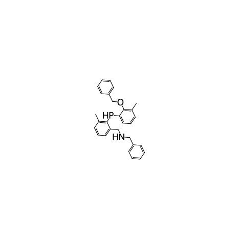 Cc1cccc(Pc2c(C)cccc2CNCc2ccccc2)c1OCc1ccccc1